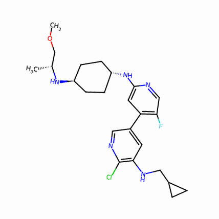 COC[C@@H](C)N[C@H]1CC[C@H](Nc2cc(-c3cnc(Cl)c(NCC4CC4)c3)c(F)cn2)CC1